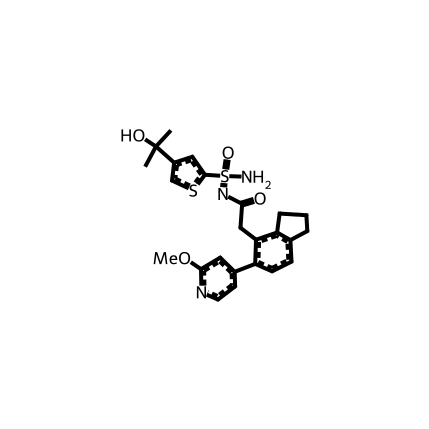 COc1cc(-c2ccc3c(c2CC(=O)N=S(N)(=O)c2cc(C(C)(C)O)cs2)CCC3)ccn1